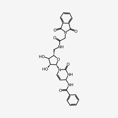 O=C(CN1C(=O)c2ccccc2C1=O)NC[C@H]1O[C@@H](N2C=CC(NC(=O)c3ccccc3)NC2=O)[C@@H](O)C1O